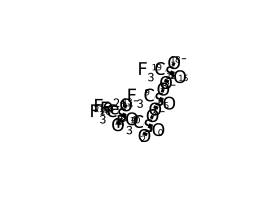 O=S(=O)([O-])C(F)(F)F.O=S(=O)([O-])C(F)(F)F.O=S(=O)([O-])C(F)(F)F.O=S(=O)([O-])C(F)(F)F.[Fe+2].[Fe+2]